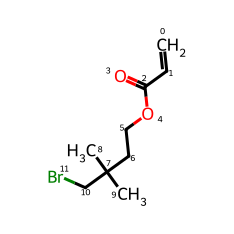 C=CC(=O)OCCC(C)(C)CBr